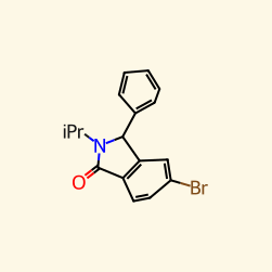 CC(C)N1C(=O)c2ccc(Br)cc2C1c1ccccc1